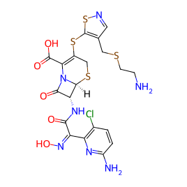 NCCSCc1cnsc1SC1=C(C(=O)O)N2C(=O)[C@@H](NC(=O)/C(=N\O)c3nc(N)ccc3Cl)[C@@H]2SC1